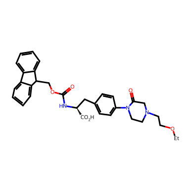 CCOCCN1CCN(c2ccc(C[C@H](NC(=O)OCC3c4ccccc4-c4ccccc43)C(=O)O)cc2)C(=O)C1